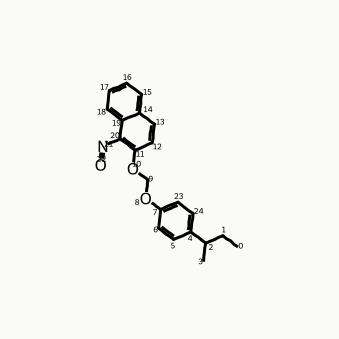 CCC(C)c1ccc(OCOc2ccc3ccccc3c2N=O)cc1